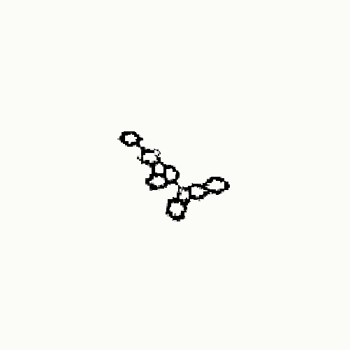 c1ccc(-c2nc3c(o2)-c2ccc(-n4c5ccccc5c5cc6ccccc6cc54)c4cccc-3c24)cc1